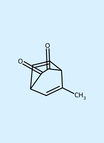 CC1=CC2C=CC1C(=O)C2=O